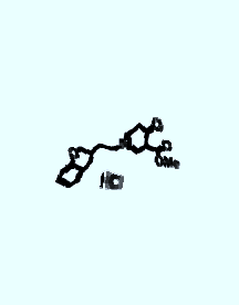 COC(=O)C1CN(CCC2COc3ccccc3C2)CCC1=O.Cl